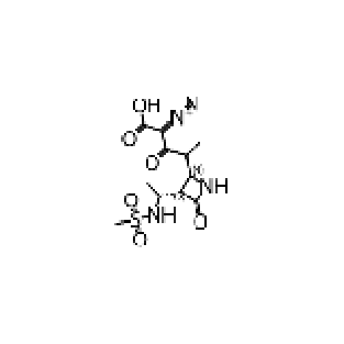 CC(C(=O)C(=[N+]=[N-])C(=O)O)[C@H]1NC(=O)[C@@H]1C(C)NS(C)(=O)=O